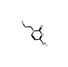 Nc1ccn(CC[S])c(=O)n1